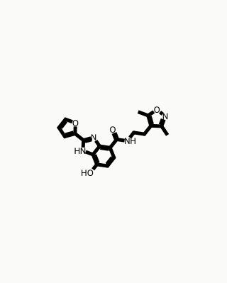 Cc1noc(C)c1CCNC(=O)c1ccc(O)c2[nH]c(-c3ccco3)nc12